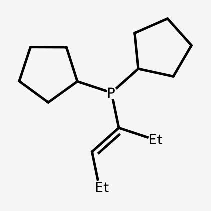 CCC=C(CC)P(C1CCCC1)C1CCCC1